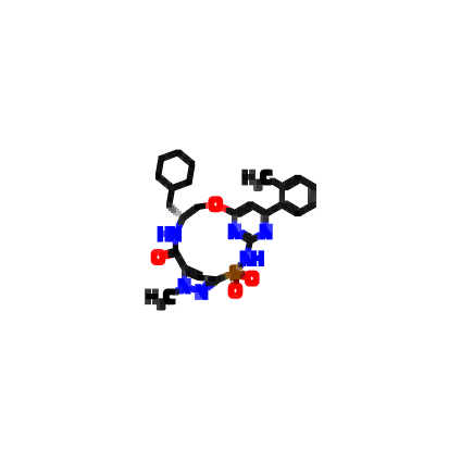 Cc1ccccc1-c1cc2nc(n1)NS(=O)(=O)c1cc(n(C)n1)C(=O)N[C@H](CC1CCCCC1)CO2